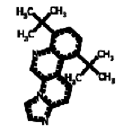 CC(C)(C)c1ccc(C(C)(C)C)c2c1ncc1c2ccc2nccn21